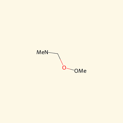 CNCOOC